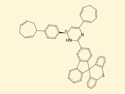 C1=CCC=CC(C2=C[C@H](c3ccc(C4C=CCC=CC4)cc3)NC(c3ccc4c(c3)-c3ccccc3C43c4ccccc4Sc4ccccc43)=N2)=C1